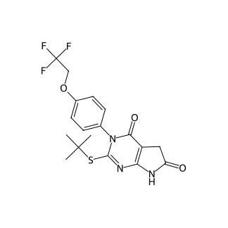 CC(C)(C)Sc1nc2c(c(=O)n1-c1ccc(OCC(F)(F)F)cc1)CC(=O)N2